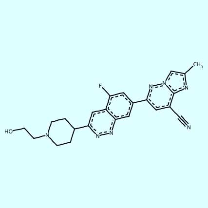 Cc1cn2nc(-c3cc(F)c4cc(C5CCN(CCO)CC5)nnc4c3)cc(C#N)c2n1